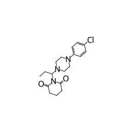 CCC(N1CCN(c2ccc(Cl)cc2)CC1)N1C(=O)CCCC1=O